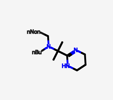 CCCCCCCCCCN(CCCC)C(C)(C)C1=NCCCN1